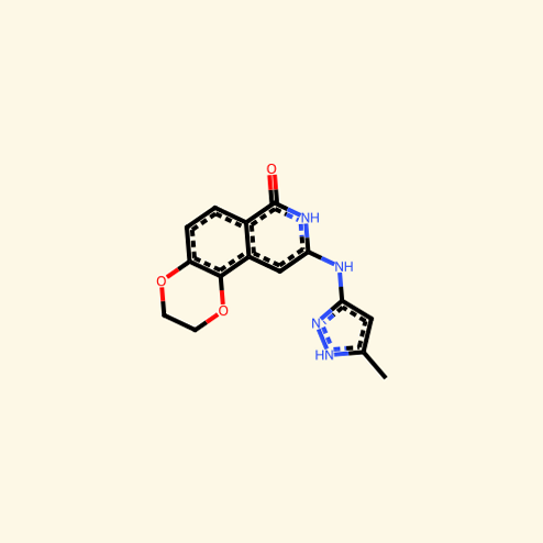 Cc1cc(Nc2cc3c4c(ccc3c(=O)[nH]2)OCCO4)n[nH]1